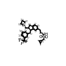 O=S(=O)(CC1CC1)NCCc1ccc2c(c1)C(Cc1cccc(C(F)(F)F)c1)C(CN1CCC1)C2